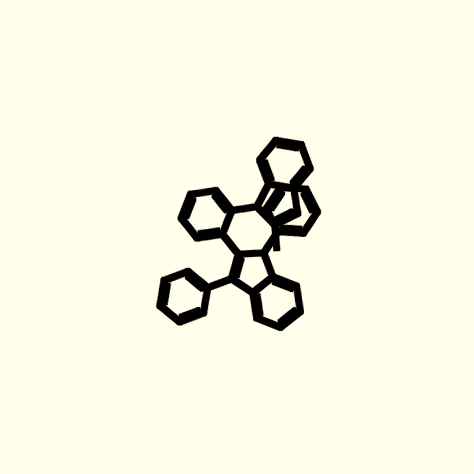 CC1=Cc2ccccc2C1c1ccccc1C1=C(c2ccccc2)c2ccccc2C1c1ccccc1